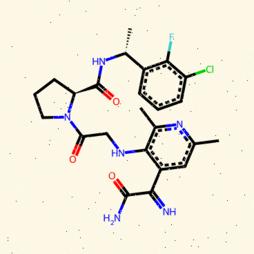 Cc1cc(C(=N)C(N)=O)c(NCC(=O)N2CCC[C@H]2C(=O)N[C@H](C)c2cccc(Cl)c2F)c(C)n1